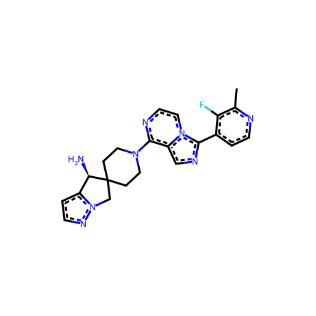 Cc1nccc(-c2ncc3c(N4CCC5(CC4)Cn4nccc4[C@H]5N)nccn23)c1F